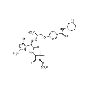 CCc1sc(N)nc1C(=NOC(COc1ccc(C(=N)NC2CCCNC2)cc1)C(=O)O)C(=O)NC1C(=O)N(OS(=O)(=O)O)C1(C)C